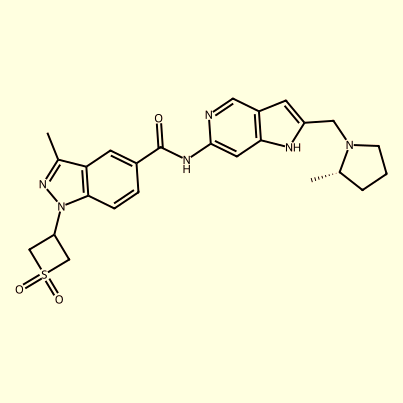 Cc1nn(C2CS(=O)(=O)C2)c2ccc(C(=O)Nc3cc4[nH]c(CN5CCC[C@@H]5C)cc4cn3)cc12